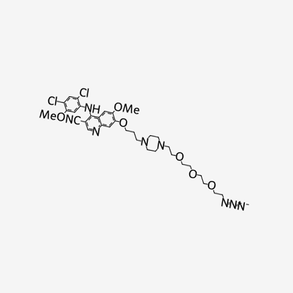 COc1cc(Nc2c(C#N)cnc3cc(OCCCN4CCN(CCOCCOCCOCCN=[N+]=[N-])CC4)c(OC)cc23)c(Cl)cc1Cl